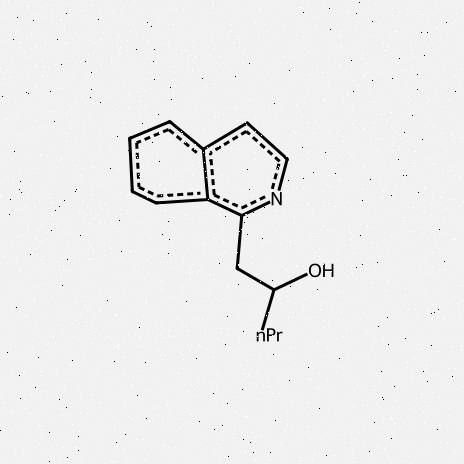 CCCC(O)Cc1nccc2ccccc12